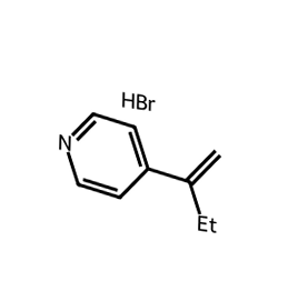 Br.C=C(CC)c1ccncc1